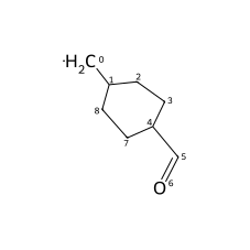 [CH2]C1CCC(C=O)CC1